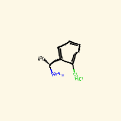 CC(C)[C@H](N)c1ccccc1Cl.Cl